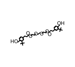 CC(C)(C)c1cc(CCC(=O)OCCOCCOCCOC(=O)CCc2ccc(CO)c(C(C)(C)C)c2)ccc1CO